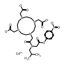 CC(C)CN(CC(=O)Oc1ccc([N+](=O)[O-])cc1)C(=O)CN1CCN(CC(=O)[O-])CCN(CC(=O)[O-])CCN(CC(=O)[O-])CC1.[Gd+3]